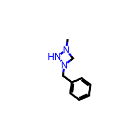 CN1CN(Cc2ccccc2)N1